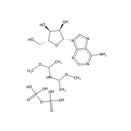 COC(C)NC(C)OC.Nc1ncnc2c1ncn2[C@@H]1O[C@H](CO)[C@@H](O)[C@H]1O.O=P(O)(O)OP(=O)(O)O